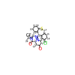 Cc1c2n(ccc1=O)N([C@H]1c3cc(Cl)ccc3CSc3ccccc31)CN([C@H](C)C(F)(F)F)C2=O